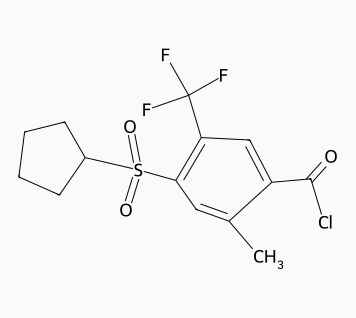 Cc1cc(S(=O)(=O)C2CCCC2)c(C(F)(F)F)cc1C(=O)Cl